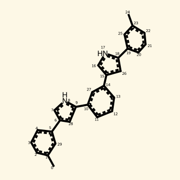 Cc1cccc(-c2c[nH]c(-c3cccc(-c4c[nH]c(-c5cccc(C)c5)c4)c3)c2)c1